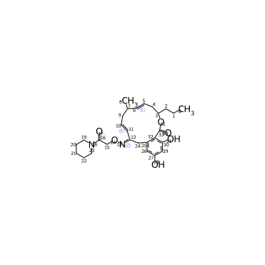 CCCC1C/C=C/C(C)C/C=C/C(=N\OCC(=O)N2CCCCC2)Cc2cc(O)cc(O)c2C(=O)O1